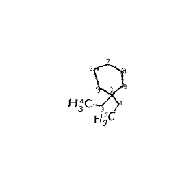 CCC1(CC)C[CH]CCC1